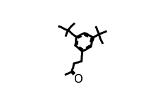 CC(=O)CCc1cc(C(C)(C)C)cc(C(C)(C)C)c1